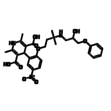 CC1=C(C(=O)O)C(c2cc([N+](=O)[O-])ccc2OCCC(C)(C)NCC(O)COc2ccccc2)C(C(=O)O)=C(C)N1